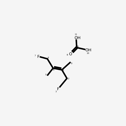 CC(CF)=C(C)CF.O=C(O)O